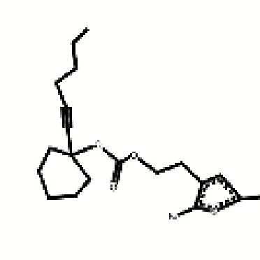 CCCCC#CC1(OC(=O)OCCc2cc(I)sc2Br)CCCCC1